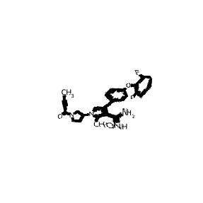 CC#CC(=O)N1CCC(n2cc(-c3ccc(Oc4c(F)cccc4F)cc3)c(C(=N)N)c2C=O)C1